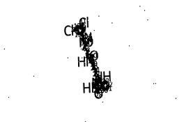 O=C(CCCc1nc(-c2cc(Cl)cc(Cl)c2)no1)NCCCCNc1n[nH]c(=O)c2ccccc12